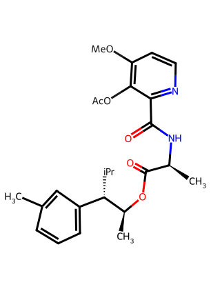 COc1ccnc(C(=O)N[C@@H](C)C(=O)O[C@@H](C)[C@H](c2cccc(C)c2)C(C)C)c1OC(C)=O